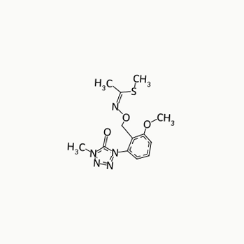 COc1cccc(-n2nnn(C)c2=O)c1CON=C(C)SC